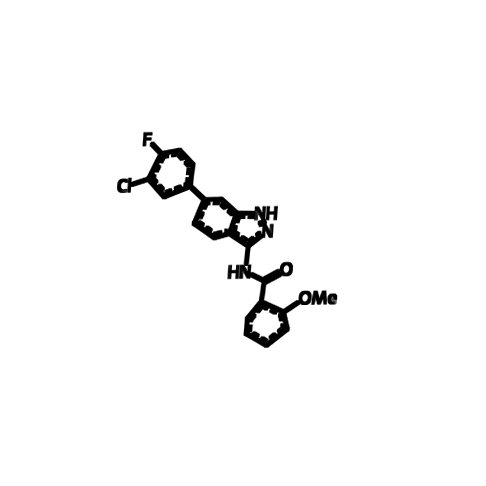 COc1ccccc1C(=O)Nc1n[nH]c2cc(-c3ccc(F)c(Cl)c3)ccc12